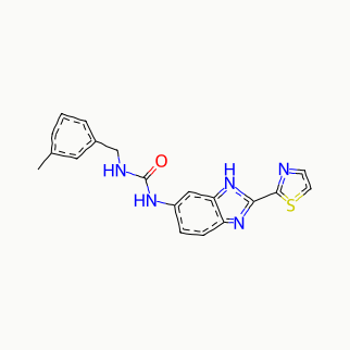 Cc1cccc(CNC(=O)Nc2ccc3nc(-c4nccs4)[nH]c3c2)c1